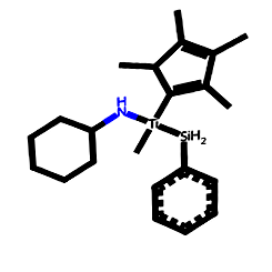 CC1=C(C)C(C)[C]([Ti]([CH3])([NH]C2CCCCC2)[SiH2]c2ccccc2)=C1C